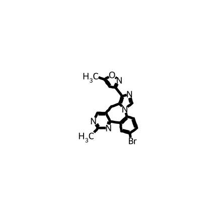 Cc1ncc2c(n1)-c1cc(Br)ccc1-n1cnc(-c3cc(C)on3)c1C2